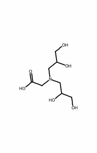 O=C(O)CN(CC(O)CO)CC(O)CO